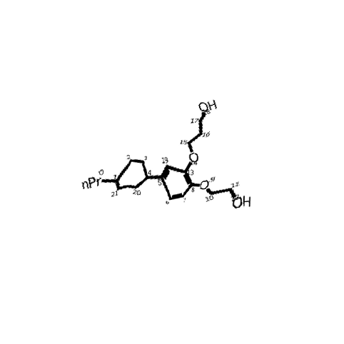 CCCC1CCC(c2ccc(OCCO)c(OCCCO)c2)CC1